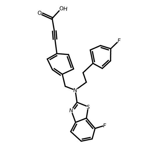 O=C(O)C#Cc1ccc(CN(CCc2ccc(F)cc2)c2nc3cccc(F)c3s2)cc1